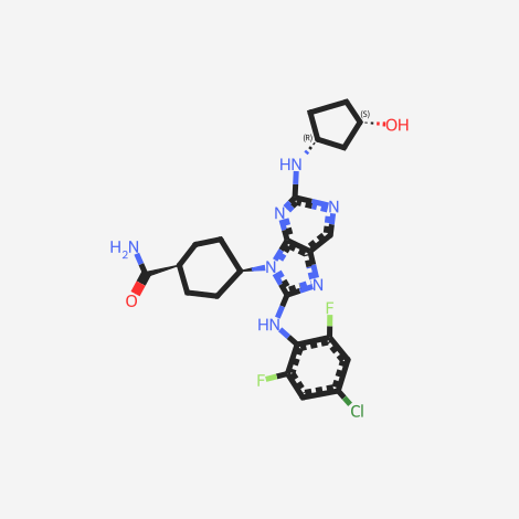 NC(=O)[C@H]1CC[C@@H](n2c(Nc3c(F)cc(Cl)cc3F)nc3cnc(N[C@@H]4CC[C@H](O)C4)nc32)CC1